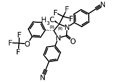 C[C@]1(C(F)(F)F)[C@@H](c2cccc(OC(F)(F)F)c2)N(c2ccc(C#N)cc2)C(=O)N1c1ccc(C#N)cc1